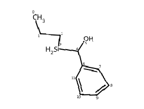 CCC[SiH2]C(O)c1ccccc1